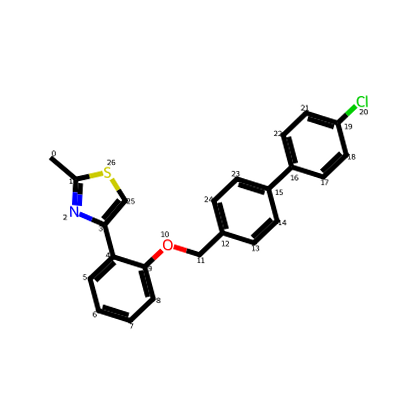 Cc1nc(-c2ccccc2OCc2ccc(-c3ccc(Cl)cc3)cc2)cs1